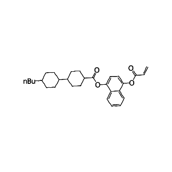 C=CC(=O)Oc1ccc(OC(=O)C2CCC(C3CCC(CCCC)CC3)CC2)c2ccccc12